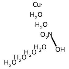 O.O.O.O.O.O.O=[N+]([O-])O.[Cu]